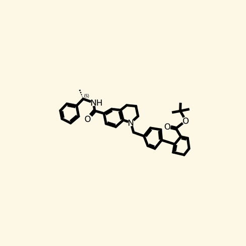 C[C@H](NC(=O)c1ccc2c(c1)CCCN2Cc1ccc(C2=CCCC=C2C(=O)OC(C)(C)C)cc1)c1ccccc1